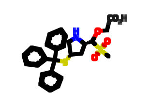 CS(=O)(=O)C(OCC(=O)O)[C@@H]1C[C@@H](SC(c2ccccc2)(c2ccccc2)c2ccccc2)CN1